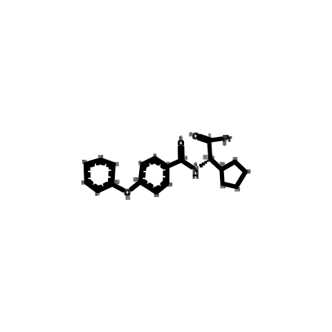 CC(C)C(=O)[C@@H](NC(=O)c1ccc(Oc2ccccc2)cc1)C1CCCC1